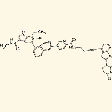 CCc1c(F)c(-c2cccc3cc(-c4ccc(C(=O)NCCC#Cc5cccc6c5CN(C5CCC(=O)NC5=O)C6=O)nc4)ncc23)cc2c(C(=O)NC)c[nH]c12